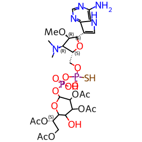 CO[C@@H]1[C@H](N(C)C)[C@@H](COP(=O)(S)OP(=O)(O)OC2OC([C@H](COC(C)=O)OC(C)=O)C(O)C(OC(C)=O)C2OC(C)=O)O[C@H]1c1c[nH]c2c(N)ncnc12